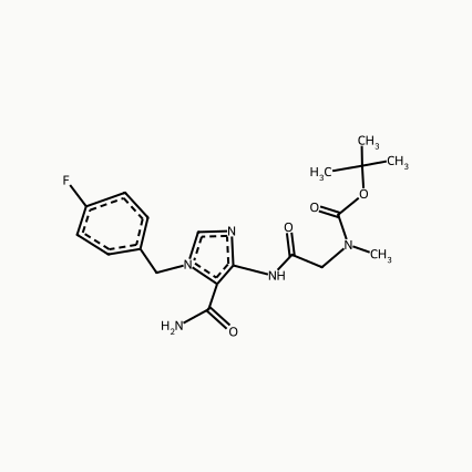 CN(CC(=O)Nc1ncn(Cc2ccc(F)cc2)c1C(N)=O)C(=O)OC(C)(C)C